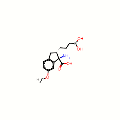 COc1ccc2c(c1)[C@@](N)(C(=O)O)[C@@H](CCCB(O)O)C2